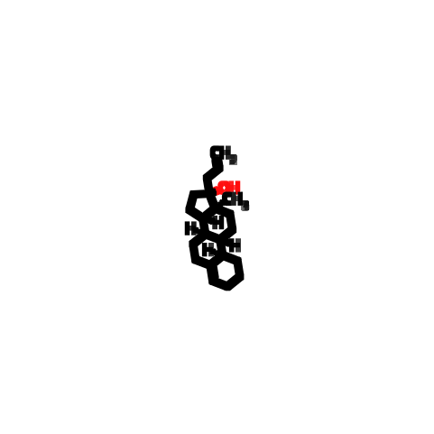 C=CCC1(O)CC[C@H]2[C@@H]3CCC4=CCCC[C@@H]4[C@H]3CC[C@@]21C